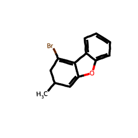 CC1C=c2oc3ccccc3c2=C(Br)C1